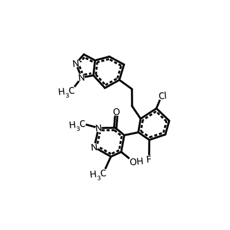 Cc1nn(C)c(=O)c(-c2c(F)ccc(Cl)c2CCc2ccc3cnn(C)c3c2)c1O